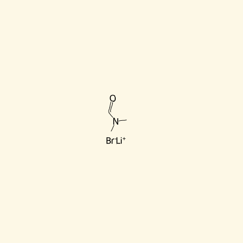 CN(C)C=O.[Br-].[Li+]